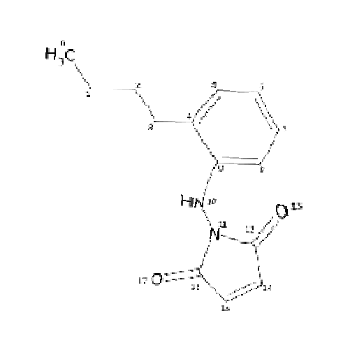 CCCCc1ccccc1NN1C(=O)C=CC1=O